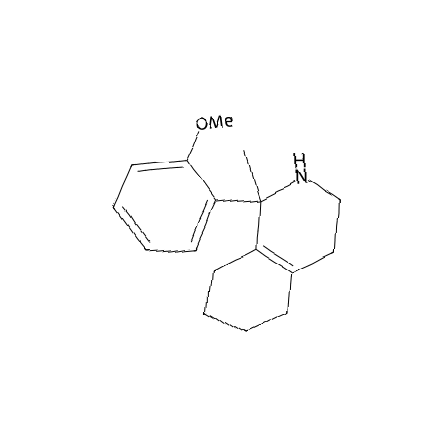 COc1ccccc1C1(C)NCCC2=C1CCCC2